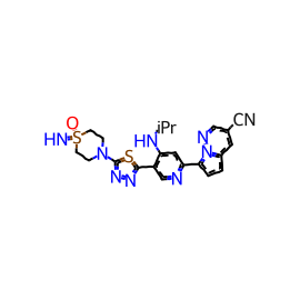 CC(C)Nc1cc(-c2ccc3cc(C#N)cnn23)ncc1-c1nnc(N2CCS(=N)(=O)CC2)s1